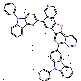 c1ccc(-n2c3ccccc3c3cc(-c4cc5c6cc(-c7ccc8c(c7)c7ccccc7n8-c7ccccc7)c7cnccc7c6oc5c5ccncc45)ccc32)cc1